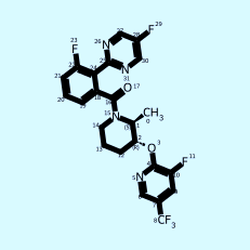 C[C@H]1[C@H](Oc2ncc(C(F)(F)F)cc2F)CCCN1C(=O)c1cccc(F)c1-c1ncc(F)cn1